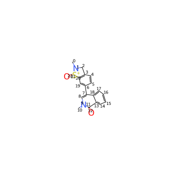 CN1Cc2ccc(-c3cn(C)c(=O)c4ccccc34)cc2[S+]1[O-]